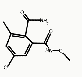 CONC(=O)c1cc(Cl)cc(C)c1C(N)=O